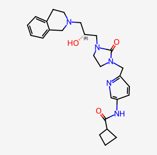 O=C(Nc1ccc(CN2CCN(C[C@H](O)CN3CCc4ccccc4C3)C2=O)nc1)C1CCC1